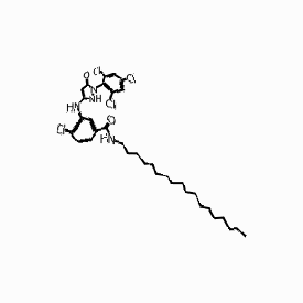 CCCCCCCCCCCCCCCCCCNC(=O)c1ccc(Cl)c(Nc2cc(=O)n(-c3c(Cl)cc(Cl)cc3Cl)[nH]2)c1